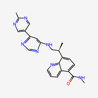 CNC(=O)c1ccc([C@H](C)CNc2cc(-c3cnc(C)nc3)ncn2)c2ncccc12